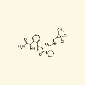 CC1C(CNC(=O)[C@@H]2CCCN2C(=O)CNc2ccccc2C(=N)C(N)=O)C1(Cl)Cl